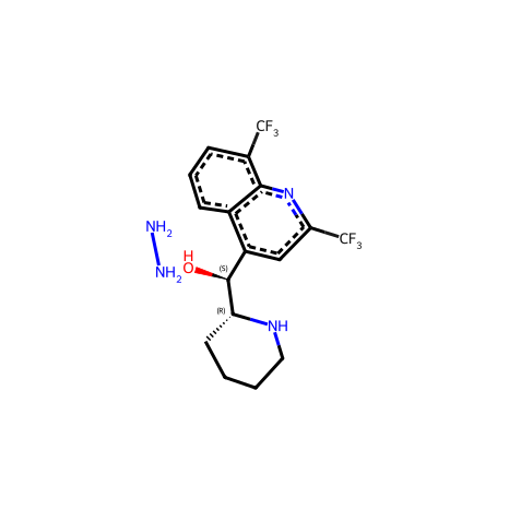 NN.O[C@@H](c1cc(C(F)(F)F)nc2c(C(F)(F)F)cccc12)[C@H]1CCCCN1